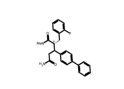 CNC(=O)[C@H](Cc1ccccc1F)C(CC(N)=O)c1ccc(-c2ccccc2)cc1